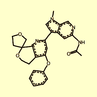 CC(=O)Nc1cc2c(-c3cc(Oc4ccccc4)c4c(n3)C3(CCOC3)OCC4)cn(C)c2cn1